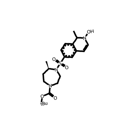 CC1c2ccc(S(=O)(=O)N3CCN(C(=O)OC(C)(C)C)CC[C@H]3C)cc2C=CN1O